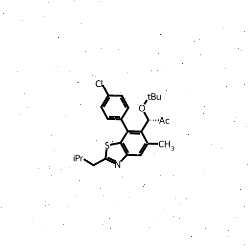 CC(=O)[C@@H](OC(C)(C)C)c1c(C)cc2nc(CC(C)C)sc2c1-c1ccc(Cl)cc1